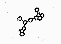 CC1(C)c2ccccc2-c2ccc(-c3cc(-c4ccc(-c5cc6ccc7cccc8c7c6c(c5)n8-c5ccccc5)cc4)cc(-c4cccnc4)c3)cc21